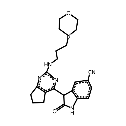 N#Cc1ccc2c(c1)C(c1nc(NCCCN3CCOCC3)nc3c1CCC3)C(=O)N2